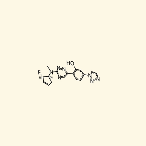 CN(c1ncc(-c2ccc(-n3ccnn3)cc2O)nn1)[C@H]1CC=C[C@@H]1F